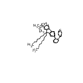 CCCCCCCCC1(CCCCCCCC)c2cc(-c3ccccc3-c3ccncc3)ccc2-c2ccc([Si](C)(C)C)cc21